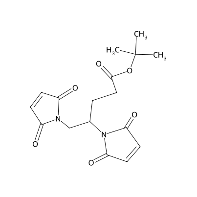 CC(C)(C)OC(=O)CCC(CN1C(=O)C=CC1=O)N1C(=O)C=CC1=O